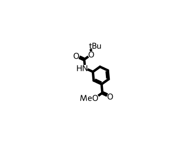 COC(=O)C1=CC(NC(=O)OC(C)(C)C)CC=C1